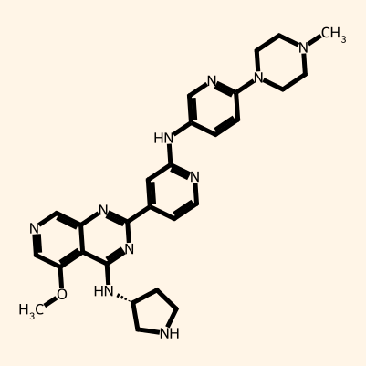 COc1cncc2nc(-c3ccnc(Nc4ccc(N5CCN(C)CC5)nc4)c3)nc(N[C@@H]3CCNC3)c12